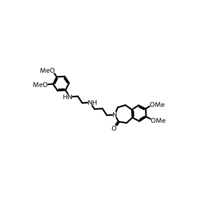 COc1ccc(NCCNCCCN2CCc3cc(OC)c(OC)cc3CC2=O)cc1OC